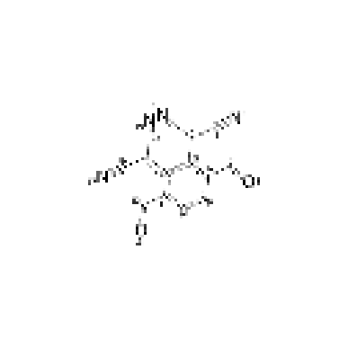 N#CC(C#N)c1c(C=O)ccc(C=O)c1C(C#N)C#N